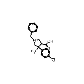 CC1(c2ccc(Cl)cc2)CN(Cc2ccccc2)CC1C(=O)O